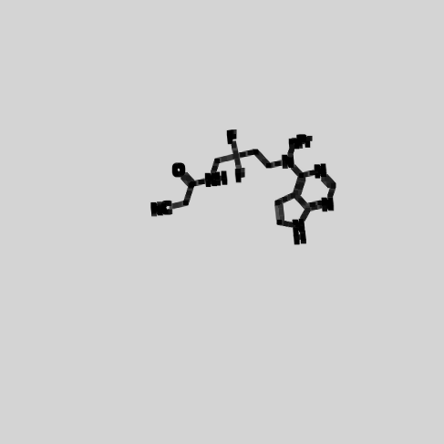 CCCN(CCC(F)(F)CNC(=O)CC#N)c1ncnc2[nH]ccc12